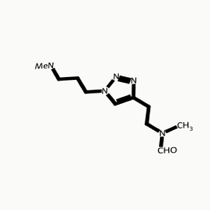 CNCCCn1cc(CCN(C)C=O)nn1